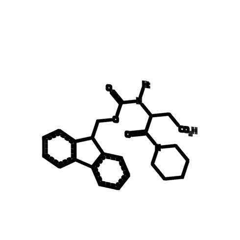 CCN(C(=O)OCC1c2ccccc2-c2ccccc21)C(CC(=O)O)C(=O)N1CCCCC1